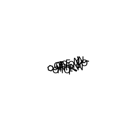 C#C[C@]1(F)[C@H](n2cnc3c(OCC)nc(C)nc32)O[C@](F)(COP(C)(=O)N[C@@H](C)C(=O)OC2CCCCC2)[C@H]1O